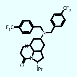 CC(C)[C@H]1CC2C[C@H](N(Cc3ccc(C(F)(F)F)cc3)Cc3ccc(C(F)(F)F)cc3)C[C@H]3CCC(=O)N1C23